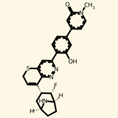 Cn1ccc(-c2ccc(-c3cc4c(nn3)C([C@H]3C[C@@H]5CC[C@@H](N5)[C@H]3F)=CCS4)c(O)c2)cc1=O